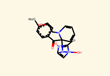 CCC1=[N+](O)C2=C[N+]1(O)N2C1(C(=O)c2ccc(OC)cc2)C=CC=CN1CCO